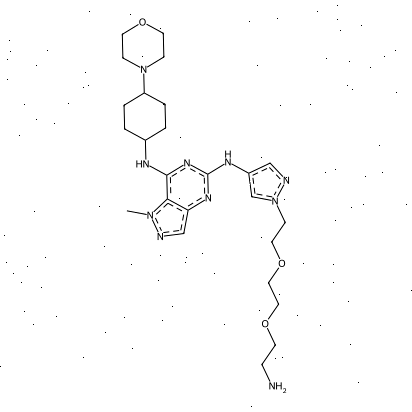 Cn1ncc2nc(Nc3cnn(CCOCCOCCN)c3)nc(NC3CCC(N4CCOCC4)CC3)c21